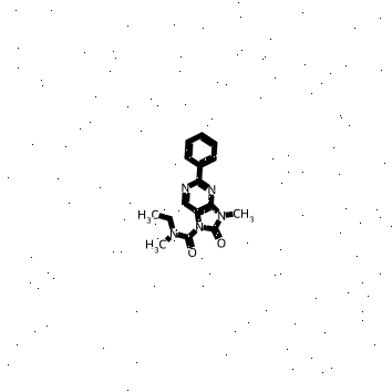 CCN(C)C(=O)n1c(=O)n(C)c2nc(-c3ccccc3)ncc21